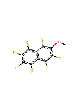 COc1c(F)c(F)c2c(F)c(F)c(F)c(F)c2c1F